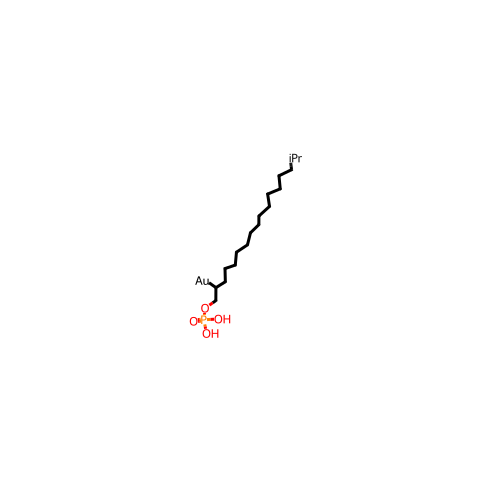 CC(C)CCCCCCCCCCCCC[CH]([Au])COP(=O)(O)O